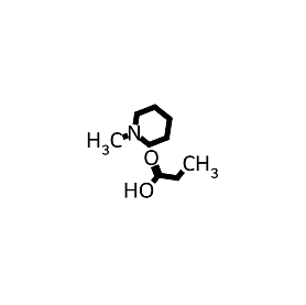 CCC(=O)O.CN1CCCCC1